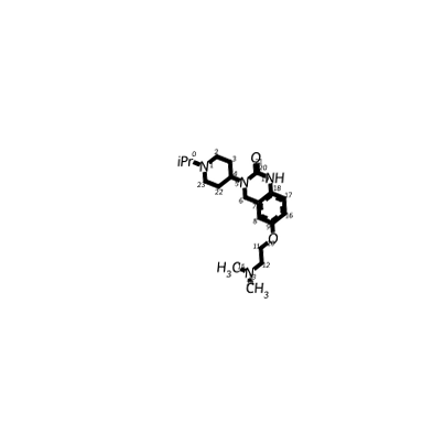 CC(C)N1CCC(N2Cc3cc(OCCN(C)C)ccc3NC2=O)CC1